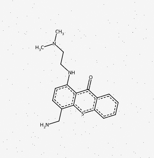 CN(C)CCNc1ccc(CN)c2sc3ccccc3c(=O)c12